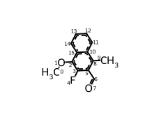 COc1c(F)c(C=O)c(C)c2ccccc12